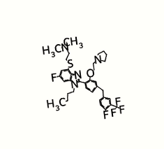 CCCCn1c(-c2ccc(Cc3ccc(F)c(C(F)(F)F)c3)cc2OCCN2CCCC2)nc2c(SCCN(C)C)cc(F)cc21